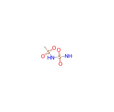 CS(=O)(=O)NS([NH])(=O)=O